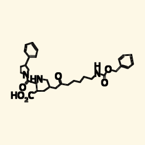 O=C(CCCCCNC(=O)OCc1ccccc1)CC1CNC(C(=O)N2CCC(c3ccccc3)C2)C(C(=O)O)C1